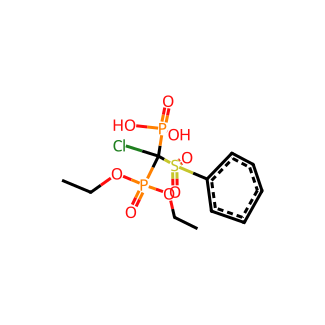 CCOP(=O)(OCC)C(Cl)(P(=O)(O)O)S(=O)(=O)c1ccccc1